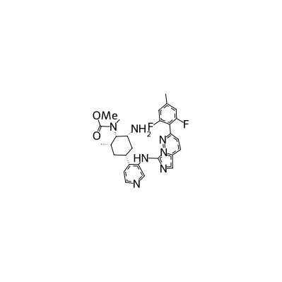 COC(=O)N(C)[C@@H]1[C@H](N)C[C@H](c2ccncc2Nc2ncc3ccc(-c4c(F)cc(C)cc4F)nn23)C[C@@H]1C